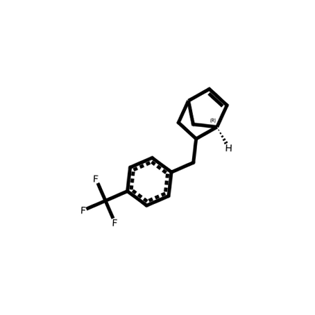 FC(F)(F)c1ccc(CC2CC3C=C[C@@H]2C3)cc1